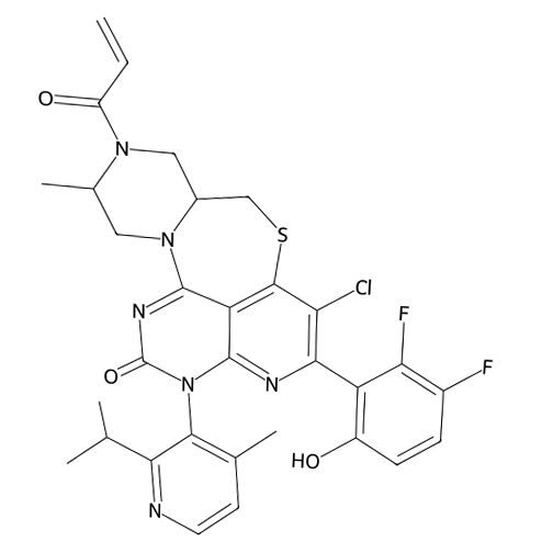 C=CC(=O)N1CC2CSc3c(Cl)c(-c4c(O)ccc(F)c4F)nc4c3c(nc(=O)n4-c3c(C)ccnc3C(C)C)N2CC1C